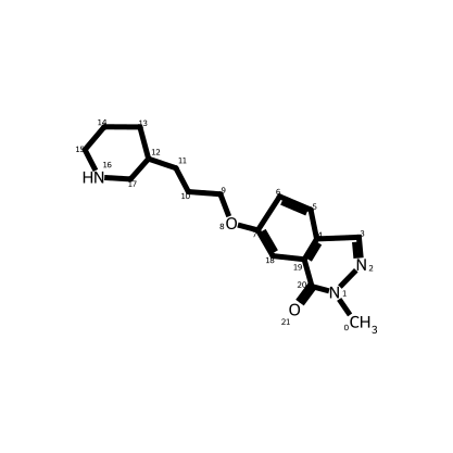 Cn1ncc2ccc(OCCCC3CCCNC3)cc2c1=O